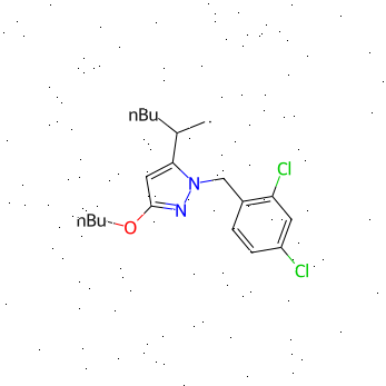 [CH2]C(CCCC)c1cc(OCCCC)nn1Cc1ccc(Cl)cc1Cl